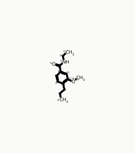 CCCc1ccc(C(=O)NCC)cc1OC